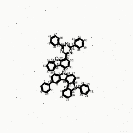 c1ccc(-c2ccc3c(c2)c2c4c5ccccc5n(-c5ccccc5)c4ccc2n3-c2ccc(-c3nc(-c4ccccc4)nc(-c4ccccc4)n3)c3oc4ccccc4c23)cc1